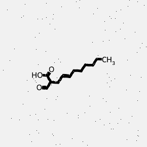 CCCCCC/C=C/CC(C=O)C(=O)O